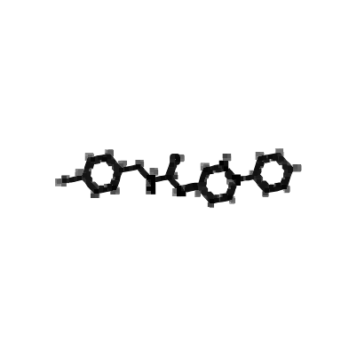 O=C(N=c1ccn(-c2ccccc2)nc1)NCc1ccc(F)cc1